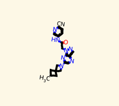 CC1CC2(C1)CN(c1cnc3cnn(CC(=O)Nc4ccc(C#N)nc4)c3n1)C2